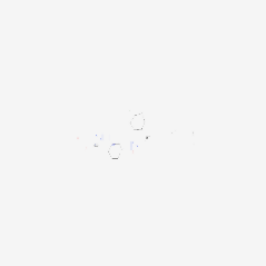 CC1(C)CCC([C@@H](CNC(=O)c2ccc(C[C@H](N)C(=O)O)cc2)c2ccc(Cl)cc2)CC1